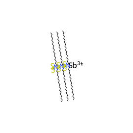 CCCCCCCCCCCCCCCCCCN(CCCCCCCCCCCCCCCCCC)C(=S)[S-].CCCCCCCCCCCCCCCCCCN(CCCCCCCCCCCCCCCCCC)C(=S)[S-].CCCCCCCCCCCCCCCCCCN(CCCCCCCCCCCCCCCCCC)C(=S)[S-].[Sb+3]